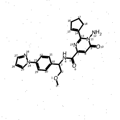 COCC(NC(=O)c1cc(=O)n(N)c(C2=CCCC2)n1)c1ccc(-n2cccn2)cc1